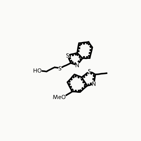 COc1ccc2sc(C)nc2c1.OCCSc1nc2ccccc2s1